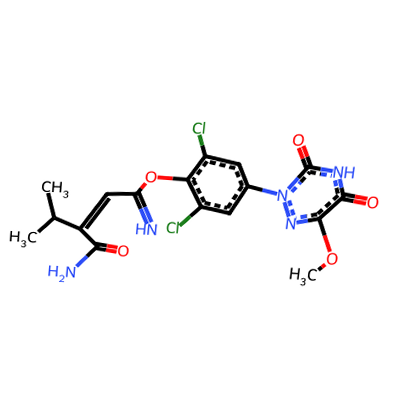 COc1nn(-c2cc(Cl)c(OC(=N)/C=C(\C(N)=O)C(C)C)c(Cl)c2)c(=O)[nH]c1=O